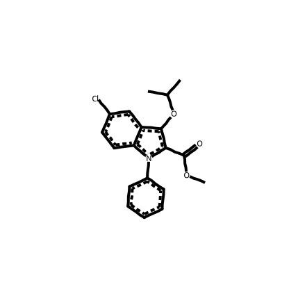 COC(=O)c1c(OC(C)C)c2cc(Cl)ccc2n1-c1ccccc1